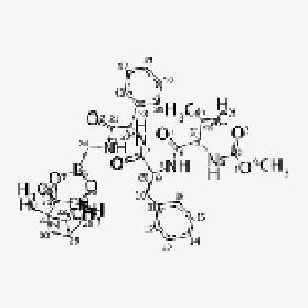 COC(=O)N[C@H](C(=O)N[C@@H](Cc1ccccc1)C(=O)N[C@H](C(=O)NCB1O[C@@H]2CC3C[C@@H](C3(C)C)[C@]2(C)O1)c1ccccc1)C(C)C